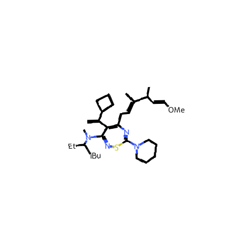 C=C(C1=C(CC=C(C)C(C)/C=C/OC)N=C(N2CCCCC2)SN=C1N(C)C(CC)C(C)CC)C1CCC1